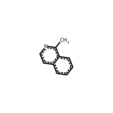 Cc1nccc2[c]cccc12